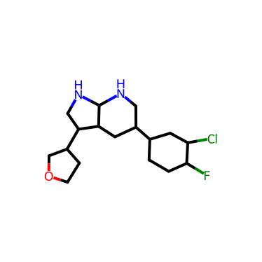 FC1CCC(C2CNC3NCC(C4CCOC4)C3C2)CC1Cl